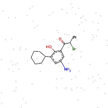 CC(C)C(Br)C(=O)c1cc(N)cc(C2CCCCC2)c1O